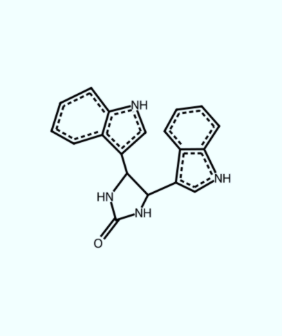 O=C1NC(c2c[nH]c3ccccc23)C(c2c[nH]c3ccccc23)N1